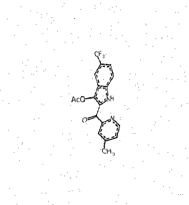 CC(=O)Oc1c(C(=O)c2cc(C)ccn2)[nH]c2ccc(C(F)(F)F)cc12